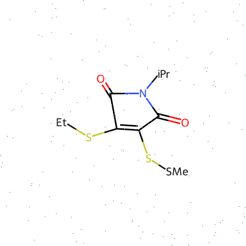 CCSC1=C(SSC)C(=O)N(C(C)C)C1=O